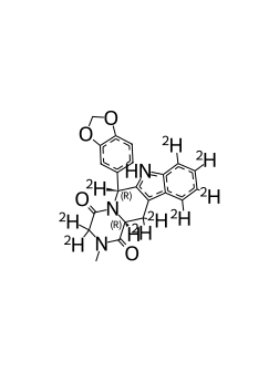 [2H]c1c([2H])c([2H])c2c3c([nH]c2c1[2H])[C@@]([2H])(c1ccc2c(c1)OCO2)N1C(=O)C([2H])([2H])N(C)C(=O)[C@H]1C3([2H])[2H]